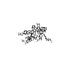 CC(C)[C@H](NC(=O)CN)C(=O)N[C@@H](Cc1ccc(O)cc1)C(=O)N1CCC[C@H]1C(=O)N[C@@H](Cc1cnc[nH]1)C(=O)N[C@@H](CCCCN)C(=O)O